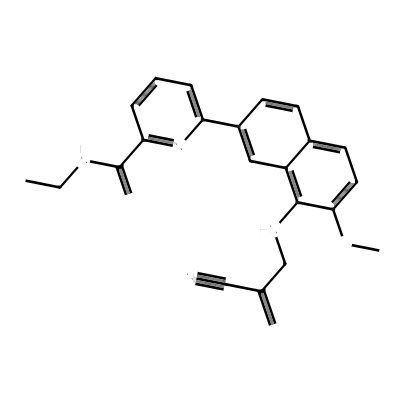 C=C(C#N)CNc1c(OC)ccc2ccc(-c3cccc(C(=O)NCC)n3)cc12